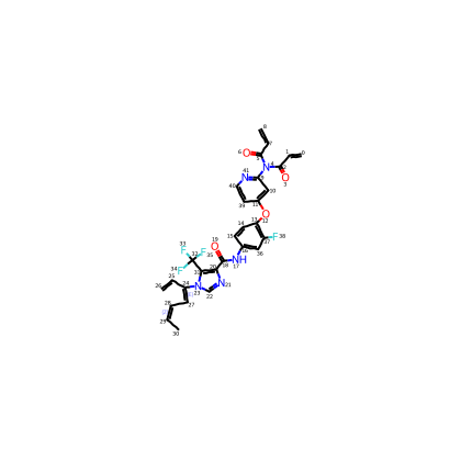 C=CC(=O)N(C(=O)C=C)c1cc(Oc2ccc(NC(=O)c3ncn(/C(C=C)=C/C=C\C)c3C(F)(F)F)cc2F)ccn1